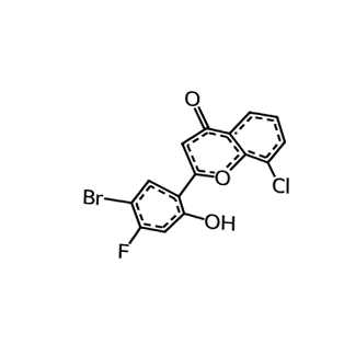 O=c1cc(-c2cc(Br)c(F)cc2O)oc2c(Cl)cccc12